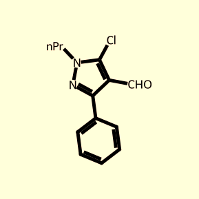 CCCn1nc(-c2ccccc2)c(C=O)c1Cl